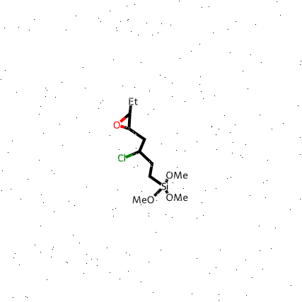 CCC1OC1CC(Cl)CC[Si](OC)(OC)OC